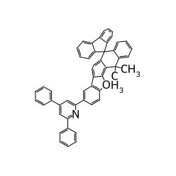 CC1(C)c2ccccc2C2(c3ccccc3-c3ccccc32)c2ccc3c(oc4ccc(-c5cc(-c6ccccc6)cc(-c6ccccc6)n5)cc43)c21